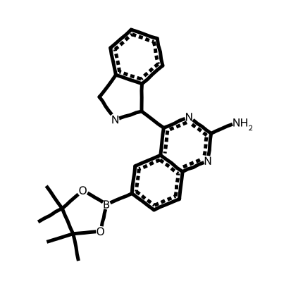 CC1(C)OB(c2ccc3nc(N)nc(C4[N]Cc5ccccc54)c3c2)OC1(C)C